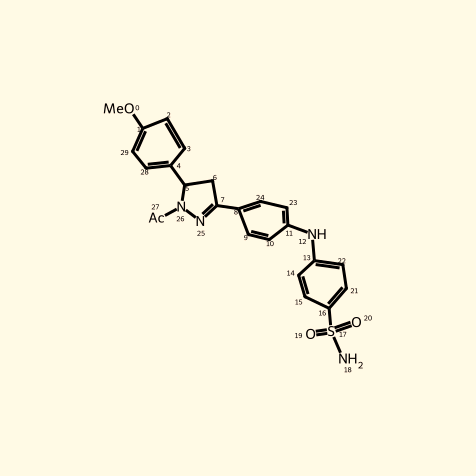 COc1ccc(C2CC(c3ccc(Nc4ccc(S(N)(=O)=O)cc4)cc3)=NN2C(C)=O)cc1